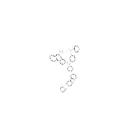 CC1(C)c2ccccc2-c2ccc(N(c3ccc(-c4ccc5oc6cc7c(cc6c5c4)Oc4ccccc4O7)cc3)c3ccc4c(ccc5ccccc54)c3)cc21